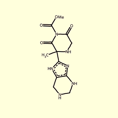 COC(=O)N1C(=O)CNC(C)(c2nc3c([nH]2)CNCN3)C1=O